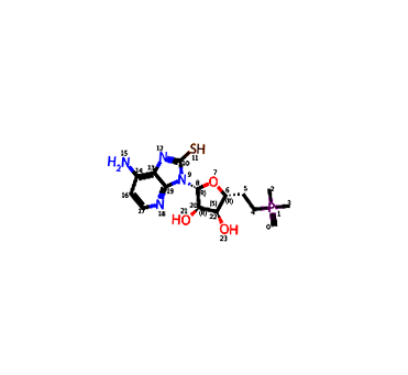 C=P(C)(C)CC[C@H]1O[C@@H](n2c(S)nc3c(N)ccnc32)[C@H](O)[C@@H]1O